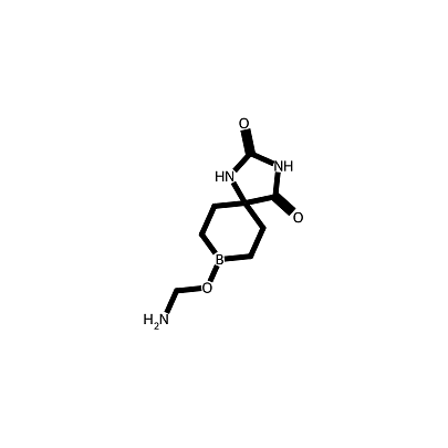 NCOB1CCC2(CC1)NC(=O)NC2=O